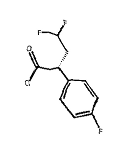 O=C(Cl)[C@H](CC(F)F)c1ccc(F)cc1